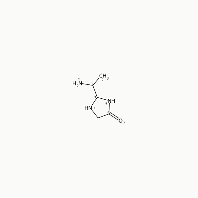 CC(N)C1NCC(=O)N1